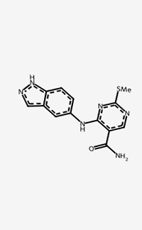 CSc1ncc(C(N)=O)c(Nc2ccc3[nH]ncc3c2)n1